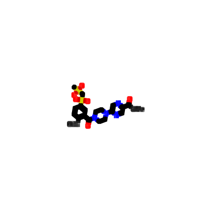 COC(=O)c1cnc(N2CCN(C(=O)c3cc(S(=O)(=O)CS(C)(=O)=O)ccc3OCC(C)C)CC2)cn1